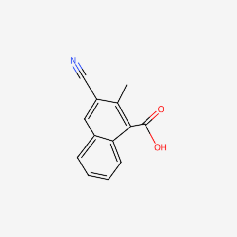 Cc1c(C#N)cc2ccccc2c1C(=O)O